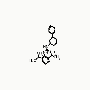 CC(C)c1cccc(C(C)C)c1NC(=O)NC1CCCC(c2ccccc2)C1